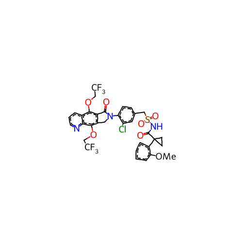 COc1ccccc1C1(C(=O)NS(=O)(=O)Cc2ccc(N3Cc4c(c(OCC(F)(F)F)c5cccnc5c4OCC(F)(F)F)C3=O)c(Cl)c2)CC1